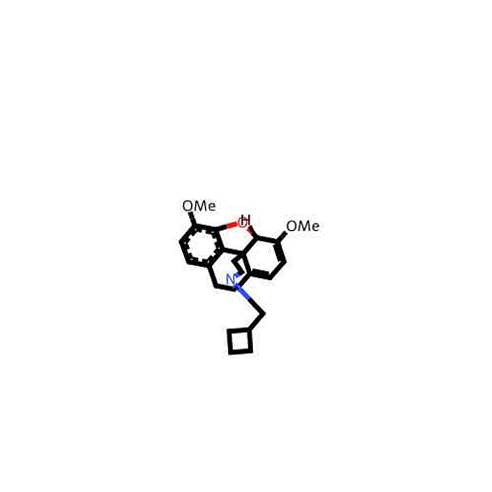 COC1=CC=C2C3Cc4ccc(OC)c5c4C2(CCN3CC2CCC2)[C@@H]1O5